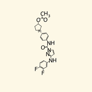 CC(=O)OC1CC[C@@H](c2ccc(NC(=O)n3ccc(Nc4ccc(F)c(F)c4)n3)cc2)C1